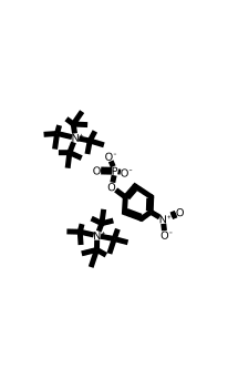 CC(C)(C)[N+](C(C)(C)C)(C(C)(C)C)C(C)(C)C.CC(C)(C)[N+](C(C)(C)C)(C(C)(C)C)C(C)(C)C.O=[N+]([O-])c1ccc(OP(=O)([O-])[O-])cc1